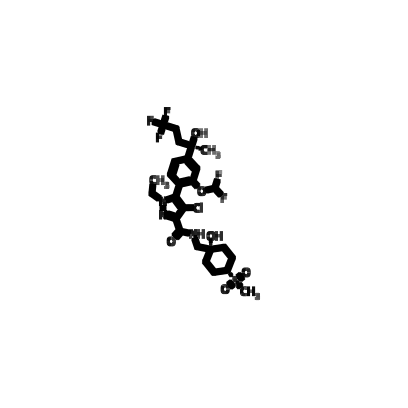 CCn1nc(C(=O)NC[C@]2(O)CC[C@@H](S(C)(=O)=O)CC2)c(Cl)c1-c1ccc([C@](C)(O)CCC(F)(F)F)cc1OC(F)F